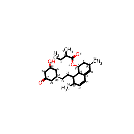 CCC(C)C(=O)O[C@H]1C[C@@H](C)C=C2C=CC(C)C(CC[C@H]3CC(=O)CC(O)C3)C21